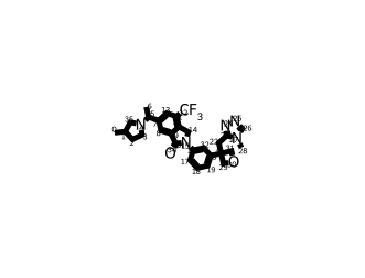 CC1CCN(C(C)c2cc3c(c(C(F)(F)F)c2)CN(c2cccc(C4(Cc5nncn5C)COC4)c2)C3=O)C1